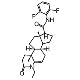 CCN1C(=O)CC[C@@]2(C)C1=CC[C@@H]1[C@H]2CC[C@]2(C)C(C(=O)Nc3c(F)cccc3F)CC[C@@H]12